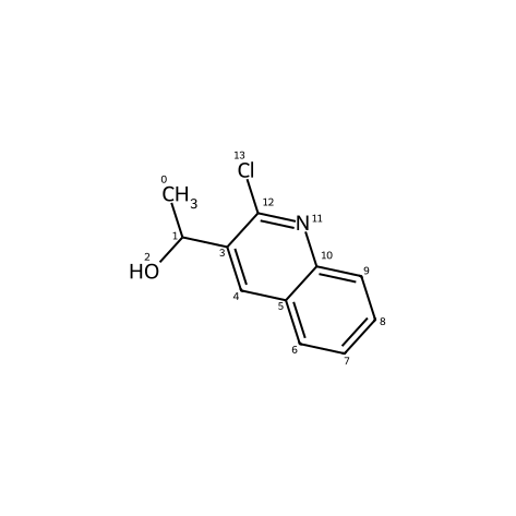 CC(O)c1cc2ccccc2nc1Cl